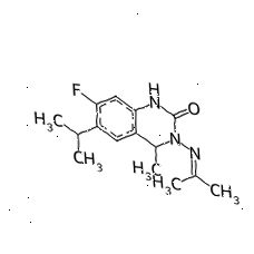 CC(C)=NN1C(=O)Nc2cc(F)c(C(C)C)cc2C1C